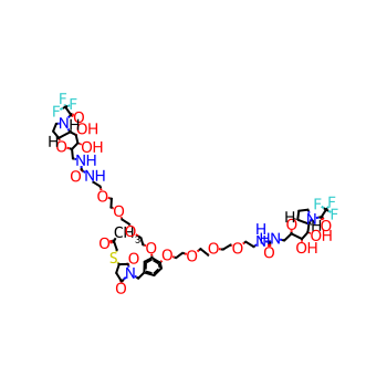 CC(=O)CSC1CC(=O)N(Cc2ccc(OCCOCCOCCOCCNC(=O)NCC3O[C@H]4CCN(C(=O)C(F)(F)F)[C@H]4[C@@H](O)[C@H]3O)c(OCCOCCOCCOCCNC(=O)NCC3O[C@H]4CCN(C(=O)C(F)(F)F)[C@H]4[C@@H](O)[C@H]3O)c2)C1=O